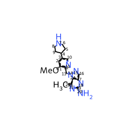 COc1cc(C2CCNCC2)cnc1Cn1ncc2nc(N)nc(C)c21